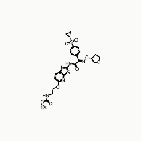 CC(C)(C)OC(=O)NCCOc1ccc2nc(NC(=O)/C(=N/O[C@@H]3CCOC3)c3ccc(S(=O)(=O)C4CC4)cc3)sc2n1